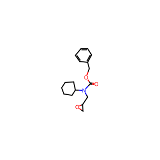 O=C(OCc1ccccc1)N(CC1CO1)C1CCCCC1